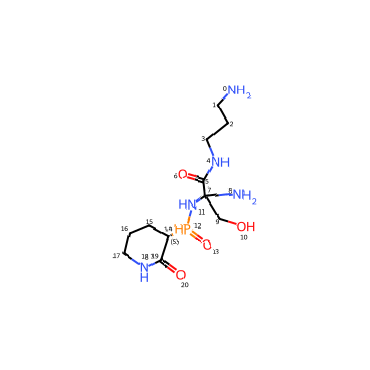 NCCCNC(=O)C(N)(CO)N[PH](=O)[C@H]1CCCNC1=O